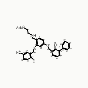 CC(=O)NCCNCc1ccc(OCc2cccc(-c3ccccc3)c2C)cc1OCc1cc(C#N)ccc1F